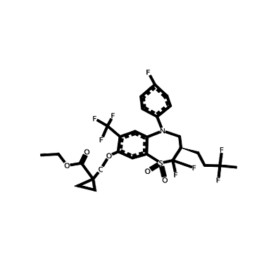 CCOC(=O)C1(COc2cc3c(cc2C(F)(F)F)N(c2ccc(F)cc2)C[C@@H](CCC(C)(F)F)C(F)(F)S3(=O)=O)CC1